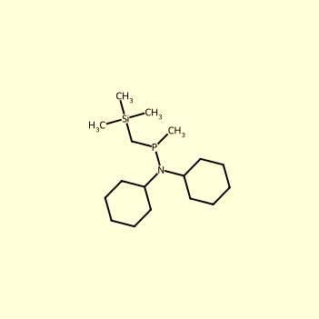 CP(C[Si](C)(C)C)N(C1CCCCC1)C1CCCCC1